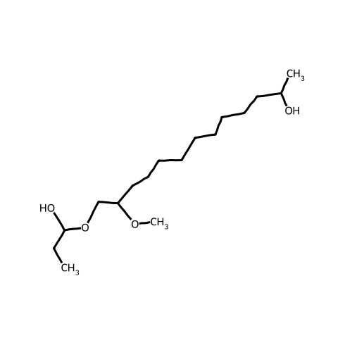 CCC(O)OCC(CCCCCCCCCC(C)O)OC